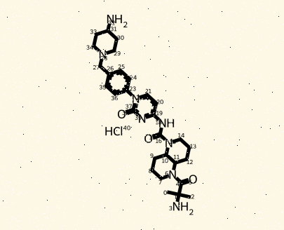 CC(C)(N)C(=O)N1CCCC2C1CCCN2C(=O)Nc1ccn(-c2ccc(CN3CCC(N)CC3)cc2)c(=O)n1.Cl